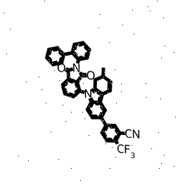 CC1C=Cc2c(n(-c3cccc4c3C(=O)N(c3ccccc3-c3ccccc3)C4=O)c3ccc(-c4ccc(C(F)(F)F)c(C#N)c4)cc23)C1